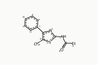 CCC(=O)Nc1nc(-c2ccccc2)c(Cl)s1